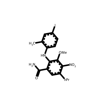 CCCc1cc(C(N)=O)c(Nc2ccc(I)cc2C)c(OC)c1[N+](=O)[O-]